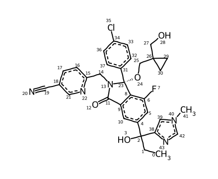 CCC(O)(c1cc(F)c2c(c1)C(=O)N(Cc1ccc(C#N)cn1)[C@@]2(OCC1(CO)CC1)c1ccc(Cl)cc1)c1cn(C)cn1